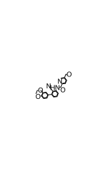 N#Cc1c(NC(=O)c2ccc(C=O)cn2)cccc1-c1ccc2c(c1)OCCO2